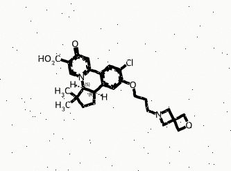 CC1(C)CC[C@@H]2c3cc(OCCCN4CC5(COC5)C4)c(Cl)cc3-c3cc(=O)c(C(=O)O)cn3[C@@H]21